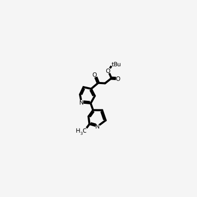 Cc1cc(-c2cc(C(=O)CC(=O)OC(C)(C)C)ccn2)ccn1